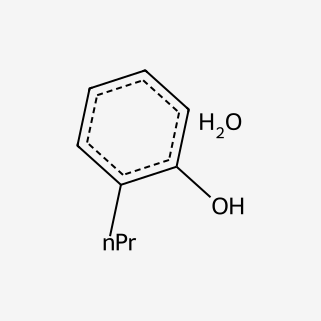 CCCc1ccccc1O.O